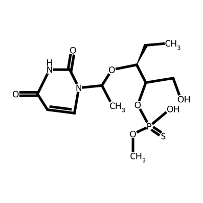 CC[C@H](OC(C)n1ccc(=O)[nH]c1=O)C(CO)OP(O)(=S)OC